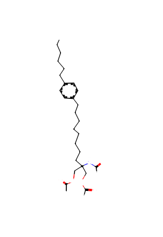 CCCCCCc1ccc(CCCCCCCCC(COC(C)=O)(COC(C)=O)NC(C)=O)cc1